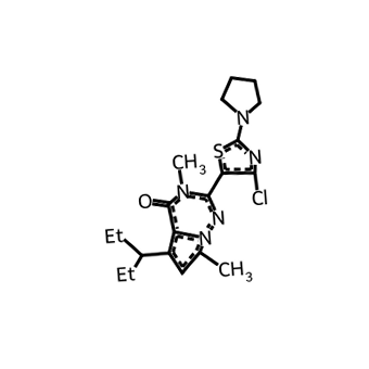 CCC(CC)c1cc(C)n2nc(-c3sc(N4CCCC4)nc3Cl)n(C)c(=O)c12